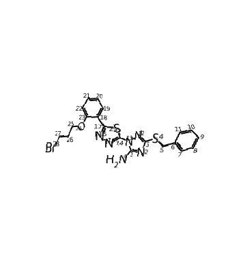 Nc1nc(SCc2ccccc2)nn1-c1nnc(-c2ccccc2OCCCBr)s1